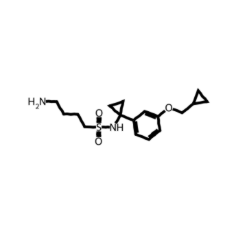 NCCCCS(=O)(=O)NC1(c2cccc(OCC3CC3)c2)CC1